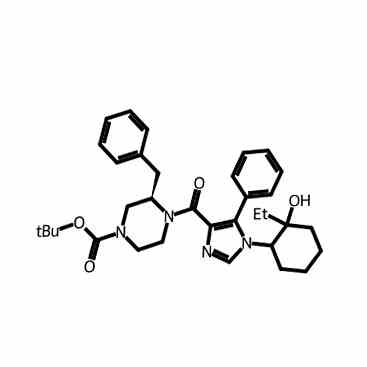 CCC1(O)CCCCC1n1cnc(C(=O)N2CCN(C(=O)OC(C)(C)C)C[C@H]2Cc2ccccc2)c1-c1ccccc1